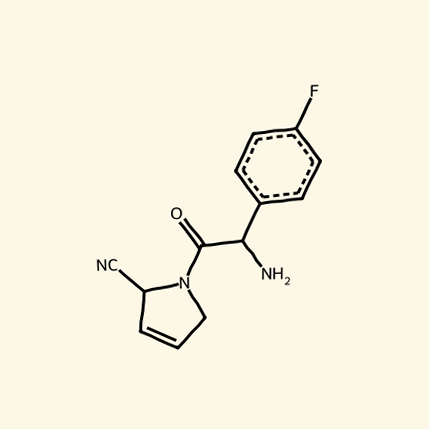 N#CC1C=CCN1C(=O)C(N)c1ccc(F)cc1